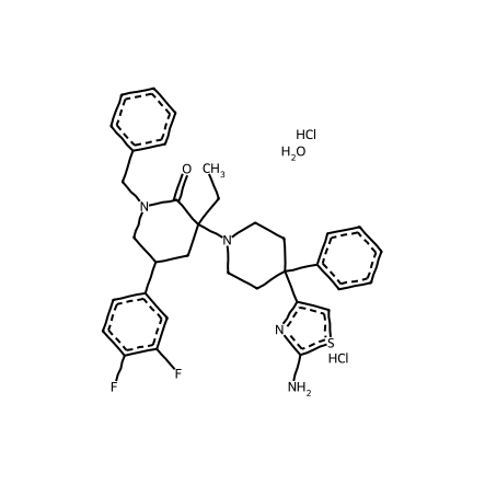 CCC1(N2CCC(c3ccccc3)(c3csc(N)n3)CC2)CC(c2ccc(F)c(F)c2)CN(Cc2ccccc2)C1=O.Cl.Cl.O